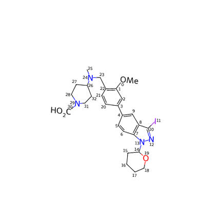 COc1cc(-c2ccc3c(c2)c(I)nn3C2CCCCO2)ccc1CN(C)C1CCN(C(=O)O)CC1